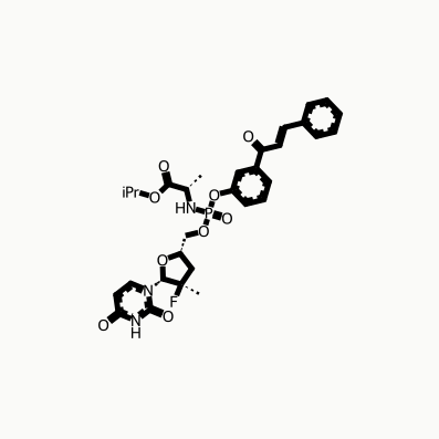 CC(C)OC(=O)[C@H](C)NP(=O)(OC[C@@H]1C[C@@](C)(F)[C@H](n2ccc(=O)[nH]c2=O)O1)Oc1cccc(C(=O)/C=C/c2ccccc2)c1